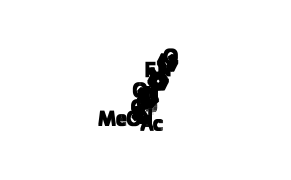 COC(=O)N(C[C@H]1CN(c2ccc(N3CCOCC3)c(F)c2)C(=O)O1)C(C)=O